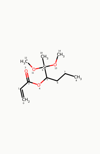 C=CC(=O)OC(CCC)[Si](C)(OC)OC